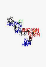 O=P(O)(O)[C@@](CO)(COCc1nn[nH]n1)OC[C@@H]1CC[C@H](n2ncc3c(NC4CCCC4)nc(Cl)nc32)O1